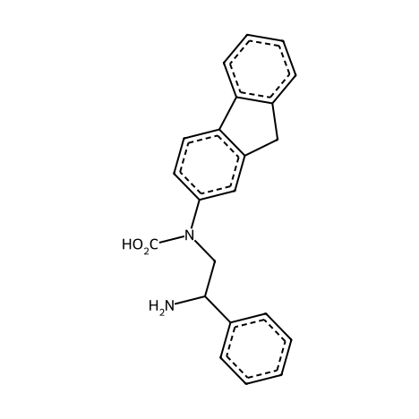 NC(CN(C(=O)O)c1ccc2c(c1)Cc1ccccc1-2)c1ccccc1